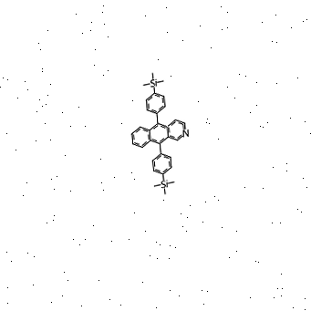 C[Si](C)(C)c1ccc(-c2c3ccccc3c(-c3ccc([Si](C)(C)C)cc3)c3cnccc23)cc1